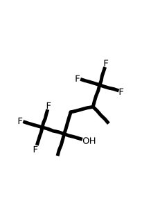 CC(CC(C)(O)C(F)(F)F)C(F)(F)F